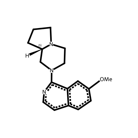 COc1ccc2ccnc(N3CCN4CCC[C@H]4C3)c2c1